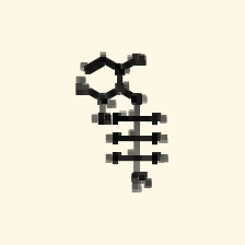 C=CN(CC)P(OC(F)(F)C(F)(F)C(F)(F)C(F)(F)F)N(CC)CC